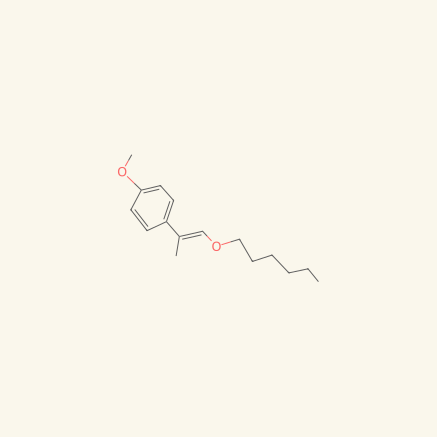 CCCCCCOC=C(C)c1ccc(OC)cc1